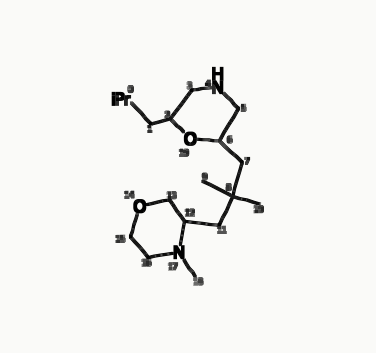 CC(C)CC1CNCC(CC(C)(C)CC2COCCN2C)O1